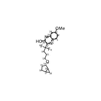 COc1ccc2nc(C(F)(F)CCCO[C@H]3CCC4CC43)c(O)nc2c1